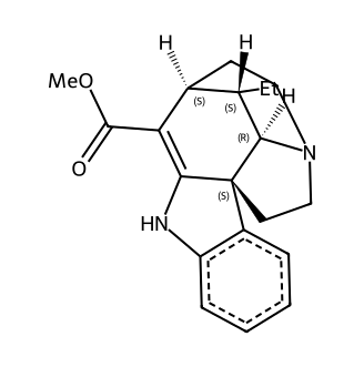 CC[C@H]1[C@@H]2CCN3CC[C@@]4(C(=C2C(=O)OC)Nc2ccccc24)[C@@H]13